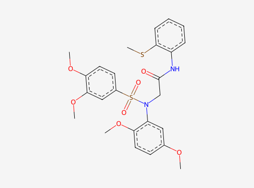 COc1ccc(OC)c(N(CC(=O)Nc2ccccc2SC)S(=O)(=O)c2ccc(OC)c(OC)c2)c1